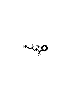 N#CCC(=O)CN1C(=O)c2ccccc2C1=O